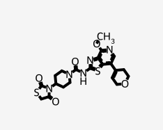 COc1ncc(C2=CCOCC2)c2sc(NC(=O)N3CCC(N4C(=O)CSC4=O)CC3)nc12